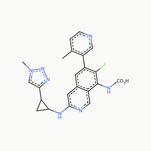 Cc1ccncc1-c1cc2cc(NC3CC3c3cn(C)nn3)ncc2c(NC(=O)O)c1F